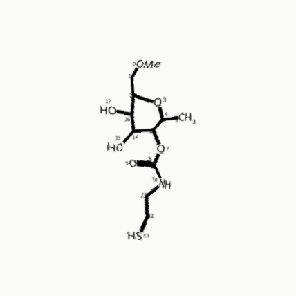 COCC1OC(C)C(OC(=O)NCCS)C(O)C1O